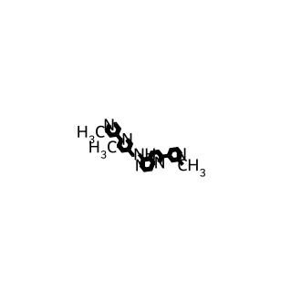 Cc1cc(-c2ccc3c(NCc4cnc(-c5ccnc(C)c5)c(C)c4)nccc3n2)ccn1